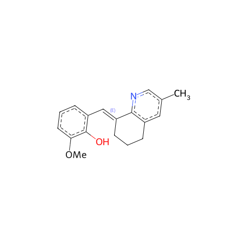 COc1cccc(/C=C2\CCCc3cc(C)cnc32)c1O